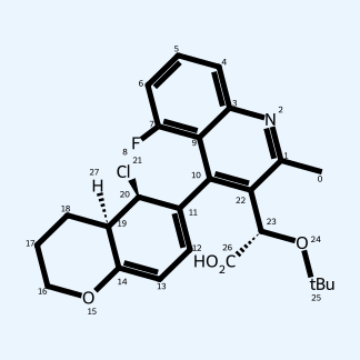 Cc1nc2cccc(F)c2c(C2=CC=C3OCCC[C@H]3[C@H]2Cl)c1[C@H](OC(C)(C)C)C(=O)O